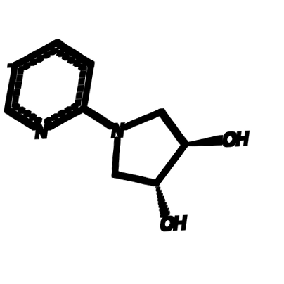 O[C@@H]1CN(c2cc[c]cn2)C[C@H]1O